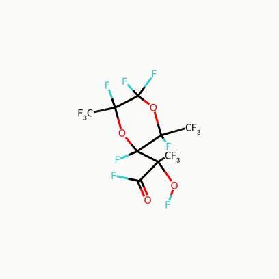 O=C(F)C(OF)(C(F)(F)F)C1(F)OC(F)(C(F)(F)F)C(F)(F)OC1(F)C(F)(F)F